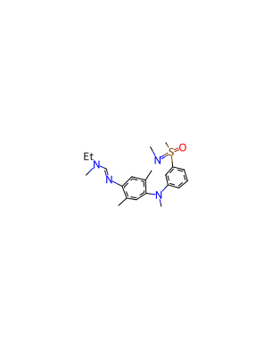 CCN(C)C=Nc1cc(C)c(N(C)c2cccc(S(C)(=O)=NC)c2)cc1C